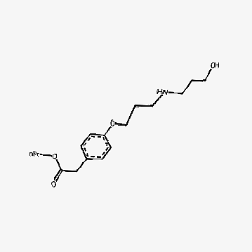 CCCOC(=O)Cc1ccc(OCCCNCCCO)cc1